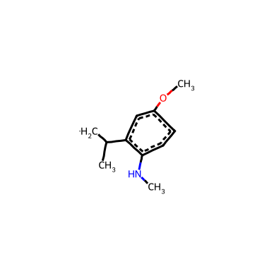 [CH2]C(C)c1cc(OC)ccc1NC